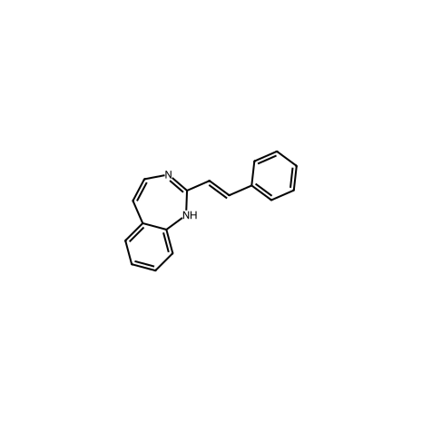 C1=Cc2ccccc2NC(C=Cc2ccccc2)=N1